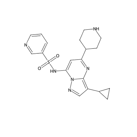 O=S(=O)(Nc1cc(C2CCNCC2)nc2c(C3CC3)cnn12)c1cccnc1